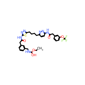 CCOC(O)NCc1cccc(CC(=O)Nc2nnc(CCCCc3ccc(NC(=O)Cc4cccc(OC(F)(F)F)c4)nn3)s2)c1